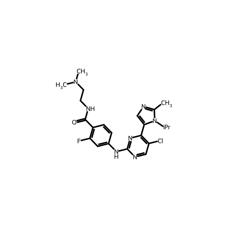 Cc1ncc(-c2nc(Nc3ccc(C(=O)NCCN(C)C)c(F)c3)ncc2Cl)n1C(C)C